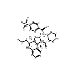 COC[C@@H]1Nc2ccccc2[C@H]2[C@@H]1CCN2C(=O)[C@H]1CCCC[C@H]1NC(=O)c1ccc(S(C)(=O)=O)cc1